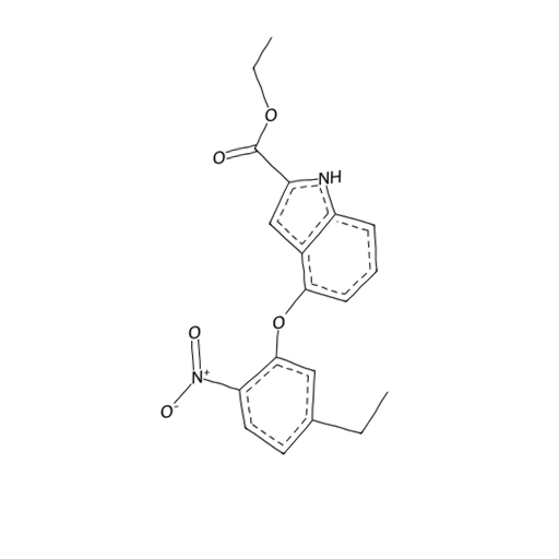 CCOC(=O)c1cc2c(Oc3cc(CC)ccc3[N+](=O)[O-])cccc2[nH]1